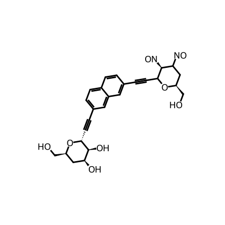 O=NC1C[C@@H](CO)OC(C#Cc2ccc3ccc(C#C[C@H]4O[C@H](CO)C[C@H](O)[C@@H]4O)cc3c2)[C@H]1N=O